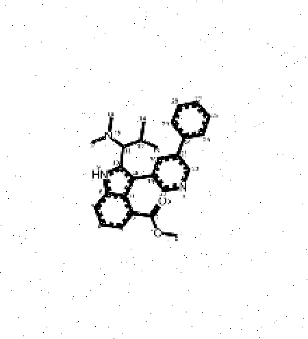 COC(=O)c1cccc2[nH]c(C(C(C)C)N(C)C)c(-c3cncc(-c4ccccc4)c3)c12